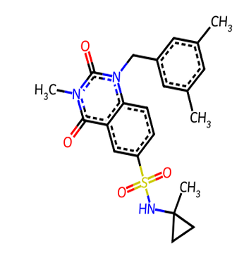 Cc1cc(C)cc(Cn2c(=O)n(C)c(=O)c3cc(S(=O)(=O)NC4(C)CC4)ccc32)c1